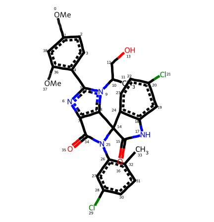 COc1ccc(-c2nc3c(n2C(C)CO)C2(C(=O)Nc4cc(Cl)ccc42)N(c2cc(Cl)ccc2C)C3=O)c(OC)c1